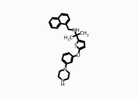 CC(C)(NCc1cccc2ccccc12)c1ccc(Oc2cccc(N3CCNCC3)c2)s1